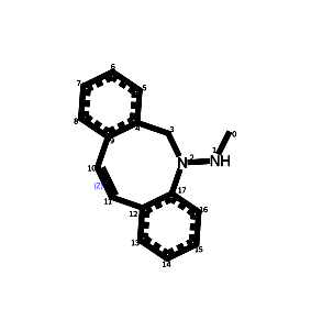 CNN1Cc2ccccc2/C=C\c2ccccc21